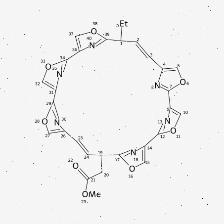 CCC1/C=C/c2coc(n2)-c2coc(n2)-c2coc(n2)C(CC(=O)OC)/C=C/c2coc(n2)-c2coc(n2)-c2coc1n2